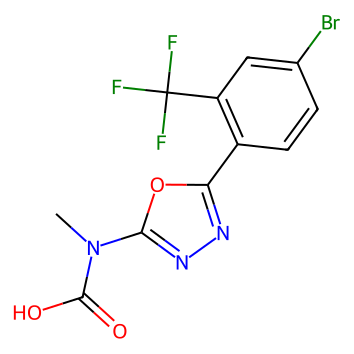 CN(C(=O)O)c1nnc(-c2ccc(Br)cc2C(F)(F)F)o1